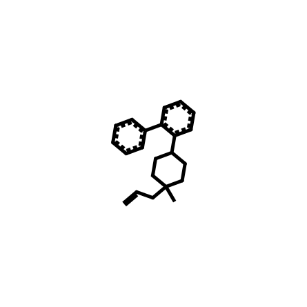 C=CCC1(C)CCC(c2ccccc2-c2ccccc2)CC1